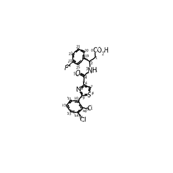 O=C(O)CC(NC(=O)c1csc(-c2cccc(Cl)c2Cl)n1)c1cccc(F)c1